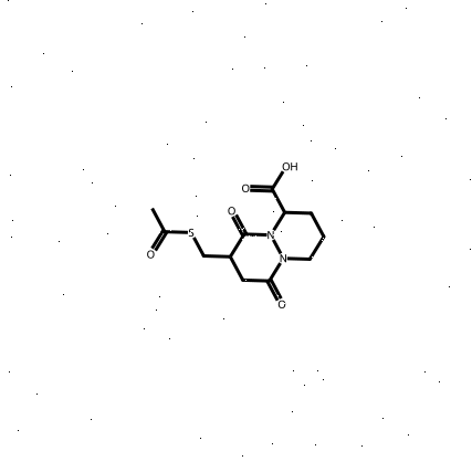 CC(=O)SCC1CC(=O)N2CCCC(C(=O)O)N2C1=O